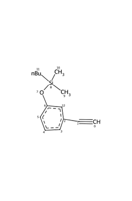 C#Cc1cccc(O[Si](C)(C)CCCC)c1